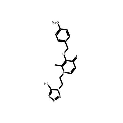 COc1ccc(COc2c(C)n(CCn3nnnc3S)ccc2=O)cc1